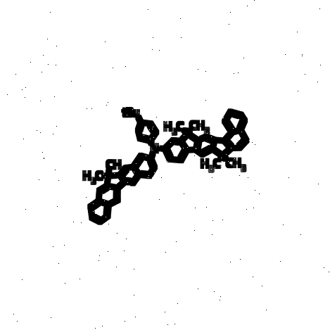 CC(C)(C)c1ccc(N(c2ccc3c(c2)C(C)(C)c2cc4c(cc2-3)C(C)(C)c2ccc3ccccc3c2-4)c2ccc3cc4c(cc3c2)C(C)(C)c2cc3ccccc3cc2-4)cc1